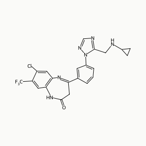 O=C1CC(c2cccc(-n3ncnc3CNC3CC3)c2)=Nc2cc(Cl)c(C(F)(F)F)cc2N1